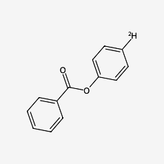 [2H]c1ccc(OC(=O)c2ccccc2)cc1